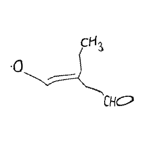 CC(C=O)=C[O]